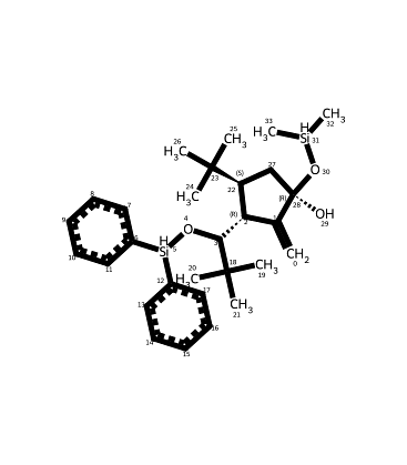 C=C1[C@H](C(O[SiH](c2ccccc2)c2ccccc2)C(C)(C)C)[C@@H](C(C)(C)C)C[C@@]1(O)O[SiH](C)C